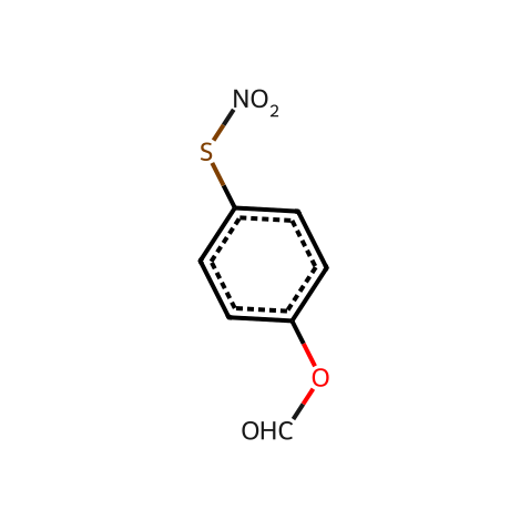 O=COc1ccc(S[N+](=O)[O-])cc1